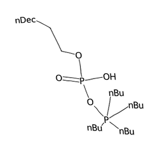 CCCCCCCCCCCCOP(=O)(O)OP(CCCC)(CCCC)(CCCC)CCCC